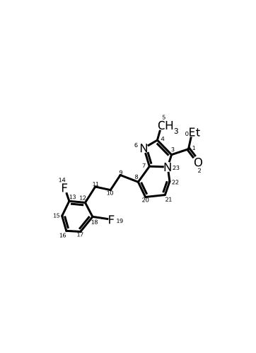 CCC(=O)c1c(C)nc2c(CCCc3c(F)cccc3F)cccn12